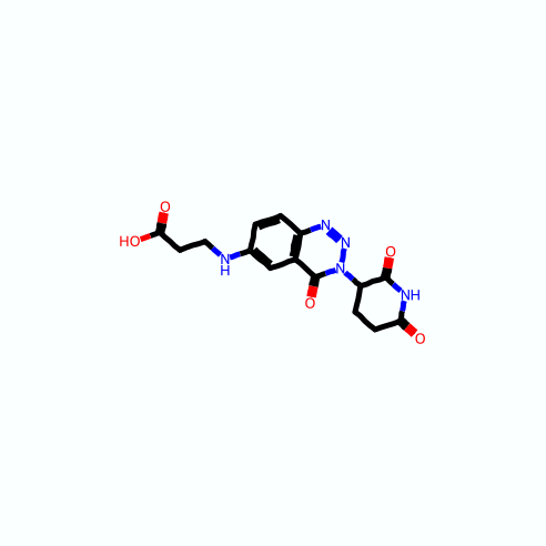 O=C(O)CCNc1ccc2nnn(C3CCC(=O)NC3=O)c(=O)c2c1